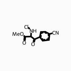 COC(=O)C(NCl)C(=O)c1ccc(C#N)cc1